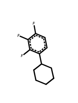 Fc1ccc(C2CCCCC2)c(F)c1F